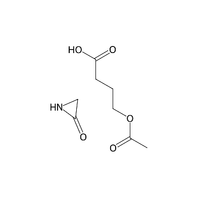 CC(=O)OCCCC(=O)O.O=C1CN1